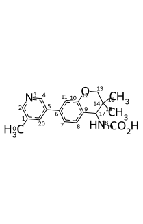 Cc1cncc(-c2ccc3c(c2)OCC(C)(C)C3NC(=O)O)c1